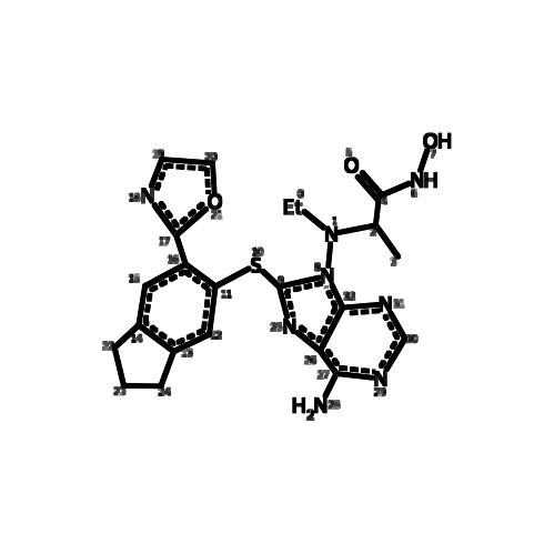 CCN(C(C)C(=O)NO)n1c(Sc2cc3c(cc2-c2ncco2)CCC3)nc2c(N)ncnc21